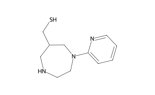 SCC1CNCCN(c2ccccn2)C1